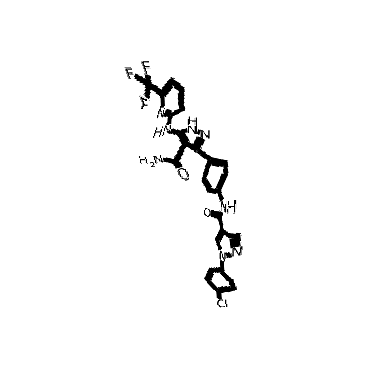 NC(=O)c1c(-c2ccc(NC(=O)c3cnn(-c4ccc(Cl)cc4)c3)cc2)n[nH]c1Nc1cccc(C(F)(F)F)n1